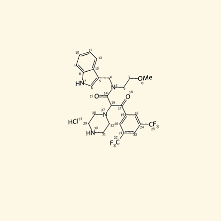 COCCN(Cc1c[nH]c2ccccc12)C(=O)C(C(=O)c1cc(C(F)(F)F)cc(C(F)(F)F)c1)N1CCNCC1.Cl